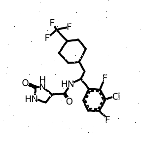 O=C1NCC(C(=O)NC(CC2CCC(C(F)(F)F)CC2)c2ccc(F)c(Cl)c2F)N1